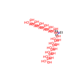 CCN(CC)CC.OB(O)O.OB(O)O.OB(O)O.OB(O)O.OB(O)O.OB(O)O.OB(O)O.OB(O)O.OB(O)O.OB(O)O.OB(O)O.OB(O)O